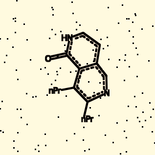 CCCc1ncc2cc[nH]c(=O)c2c1CCC